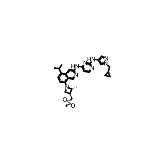 CC(C)c1ccc(N2C[C@H](CS(C)(=O)=O)[C@H]2C)c2cnc(Nc3ccnc(Nc4cnn(CC5CC5)c4)n3)cc12